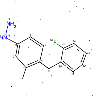 Cc1cc(NN)ccc1Cc1ccccc1F